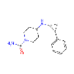 NC(=O)N1CCC(NC2CC2c2ccccc2)CC1